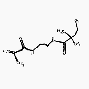 C=C(C)C(=O)NCCNC(=O)C(C)(C)CC